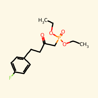 CCOP(=O)(CC(=O)CCc1ccc(F)cc1)OCC